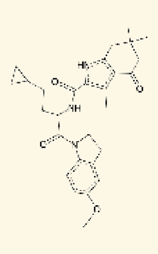 COc1ccc2c(c1)CCN2C(=O)C(CCC1CC1)NC(=O)c1[nH]c2c(c1C)C(=O)CC(C)(C)C2